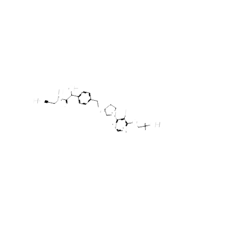 C#CCNC(=O)C(C)c1ccc(CC[C@@H]2CCN(c3ncnc(OCC(C)(F)F)c3F)C2)cc1